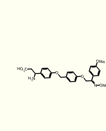 CO/N=C(/COc1ccc(COc2ccc(C(N)CC(=O)O)cc2)cc1)c1ccc(OC)cc1